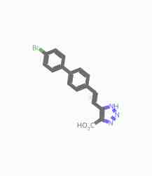 O=C(O)c1nn[nH]c1/C=C/c1ccc(-c2ccc(Br)cc2)cc1